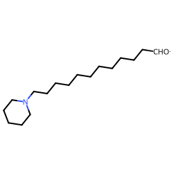 O=[C]CCCCCCCCCCCN1CCCCC1